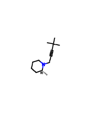 C[C@@H]1CCCCN1CC#CC(C)(C)C